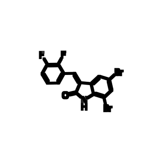 O=C1Nc2c(Br)cc(Br)cc2C1=Cc1cccc(F)c1F